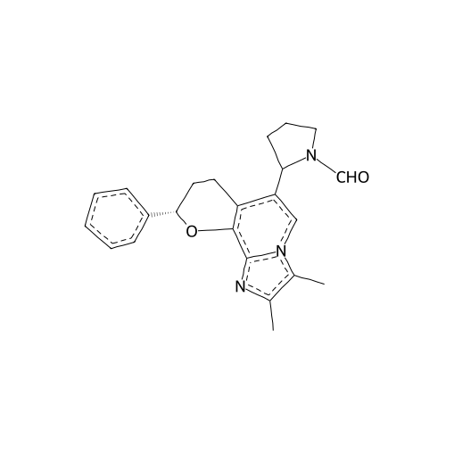 Cc1nc2c3c(c(C4CCCN4C=O)cn2c1C)CC[C@@H](c1ccccc1)O3